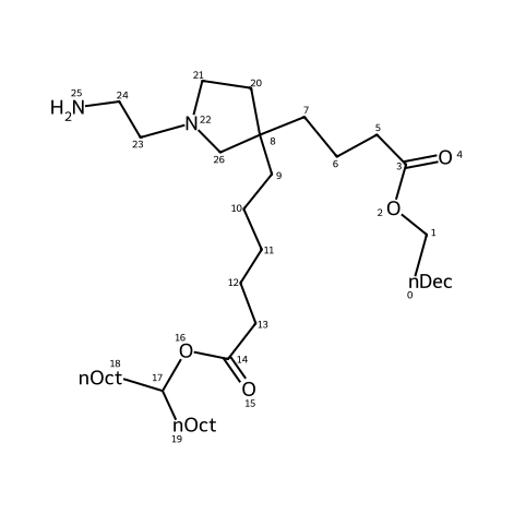 CCCCCCCCCCCOC(=O)CCCC1(CCCCCC(=O)OC(CCCCCCCC)CCCCCCCC)CCN(CCN)C1